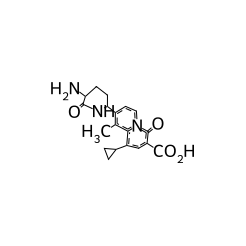 Cc1c(C2CCC(N)C(=O)N2)ccn2c(=O)c(C(=O)O)cc(C3CC3)c12